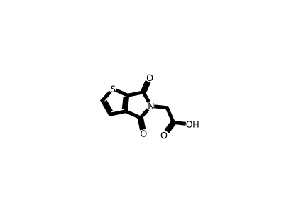 O=C(O)CN1C(=O)c2ccsc2C1=O